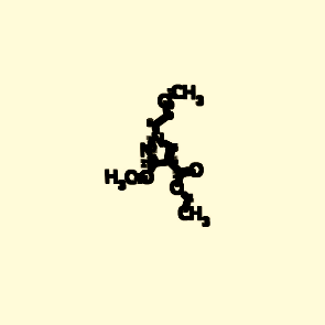 CCOC(=O)c1cn(CCOC)nc1OC